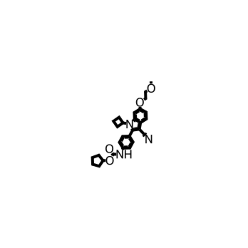 COCCOc1ccc2c(C#N)c(-c3ccc(NC(=O)OC4CCCC4)cc3)n(C3CCC3)c2c1